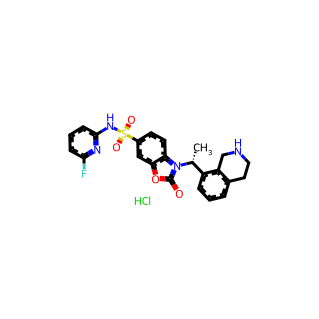 C[C@H](c1cccc2c1CNCC2)n1c(=O)oc2cc(S(=O)(=O)Nc3cccc(F)n3)ccc21.Cl